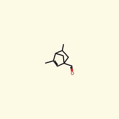 CC1=CC2(C=O)CC(C)C1C2